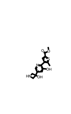 COC(=O)c1cc(-c2ncc(C3(O)CNC3)cc2O)c(C)s1